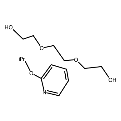 CC(C)Oc1ccccn1.OCCOCCOCCO